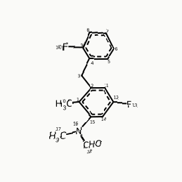 Cc1c(Cc2ccccc2F)cc(F)cc1N(C)C=O